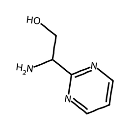 NC(CO)c1ncccn1